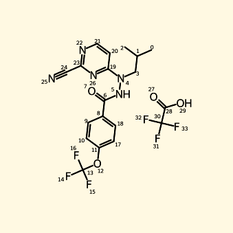 CC(C)CN(NC(=O)c1ccc(OC(F)(F)F)cc1)c1ccnc(C#N)n1.O=C(O)C(F)(F)F